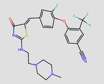 CN1CCN(CCNC2=NC(=O)/C(=C/c3ccc(Oc4ccc(C#N)cc4C(F)(F)F)c(F)c3)S2)CC1